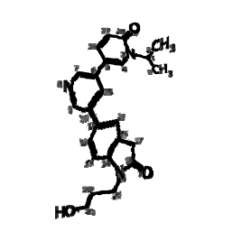 CC(C)n1cc(-c2cncc(-c3ccc4c(c3)CC(=O)N4CCCO)c2)ccc1=O